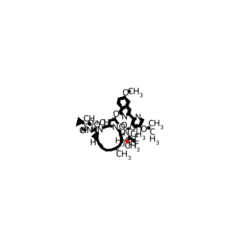 CC[C@@H]1C[C@@H](C)CCC=C[C@@H]2C[C@@]2(C(=O)NS(=O)(=O)C2(C)CC2)NC(=O)[C@@H]2C[C@@H](Oc3nc(-c4ccc(OC(C)C)cn4)cc4cc(OC)ccc34)CN2C(=O)[C@H]1N(C(=O)O)C(C)(C)C(F)(F)F